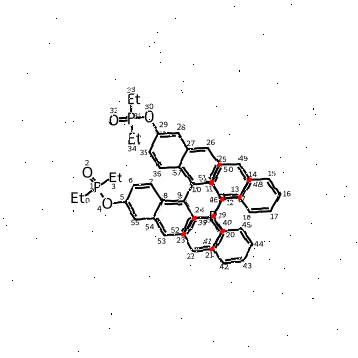 CCP(=O)(CC)Oc1ccc2c(-c3c(P(c4ccccc4)c4ccccc4)ccc4cc(OP(=O)(CC)CC)ccc34)c(P(c3ccccc3)c3ccccc3)ccc2c1